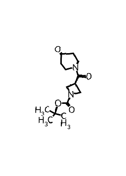 CC(C)(C)OC(=O)N1CC(C(=O)N2CCC(=O)CC2)C1